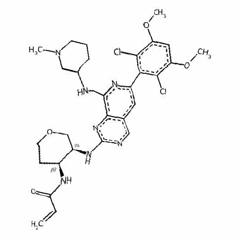 C=CC(=O)N[C@H]1CCOC[C@H]1Nc1ncc2cc(-c3c(Cl)c(OC)cc(OC)c3Cl)nc(NC3CCCN(C)C3)c2n1